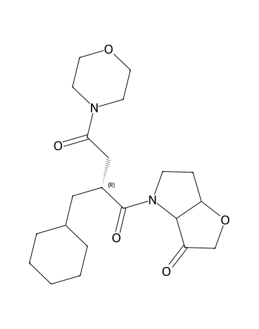 O=C1COC2CCN(C(=O)[C@@H](CC(=O)N3CCOCC3)CC3CCCCC3)C12